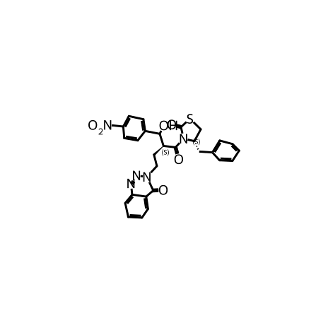 O=C1SC[C@H](Cc2ccccc2)N1C(=O)[C@@H](CCn1nnc2ccccc2c1=O)C(O)c1ccc([N+](=O)[O-])cc1